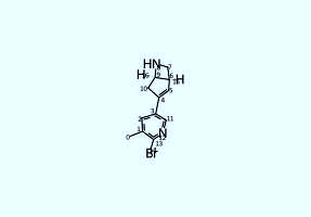 Cc1cc(C2=C[C@@H]3CN[C@@H]3C2)cnc1Br